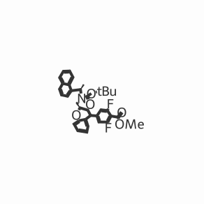 COC(=O)c1c(F)cc(C2C[C@H](CN(C(=O)OC(C)(C)C)[C@H](C)c3cccc4ccccc34)Oc3ccccc32)cc1F